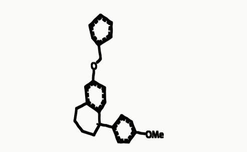 COc1ccc([C]2CCCCc3cc(OCc4ccccc4)ccc32)cc1